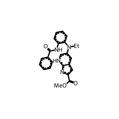 CCN(c1c[nH]c2nc(C(=O)OC)cc-2c1)c1ccccc1NC(=O)c1ccccc1